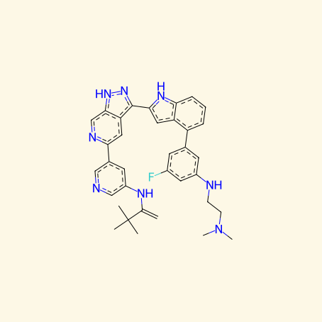 C=C(Nc1cncc(-c2cc3c(-c4cc5c(-c6cc(F)cc(NCCN(C)C)c6)cccc5[nH]4)n[nH]c3cn2)c1)C(C)(C)C